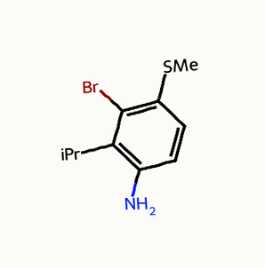 CSc1ccc(N)c(C(C)C)c1Br